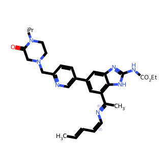 CC=C/C=C\N=C(/C)c1cc(-c2ccc(CN3CCN(C(C)C)C(=O)C3)nc2)cc2nc(NC(=O)OCC)[nH]c12